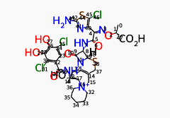 C[C@H](O/N=C(\C(=O)N[C@@H]1C(=O)N2C(C(=O)O)=C(C[N+]3(CCNC(=O)c4cc(Cl)c(O)c(O)c4Cl)CCCCC3)CS[C@H]12)c1nc(N)sc1Cl)C(=O)O